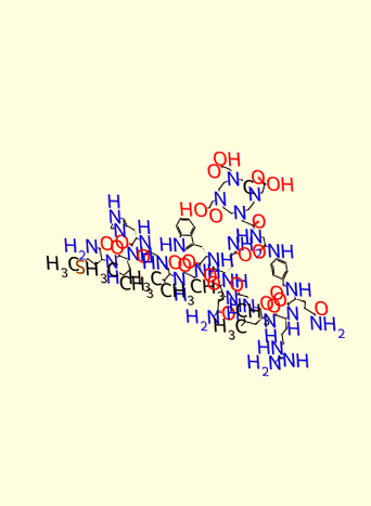 CSCC[C@H](NC(=O)[C@H](CC(C)C)NC(=O)[C@H](Cc1c[nH]cn1)NC(=O)CNC(=O)[C@@H](NC(=O)[C@H](C)NC(=O)[C@H](Cc1c[nH]c2ccccc12)NC(=O)[C@H](CCC(N)=O)NC(=O)[C@H](CC(N)=O)NC(=O)CNC(=O)[C@H](CC(C)C)NC(=O)[C@H](CCCNC(=N)N)NC(=O)[C@H](CCC(N)=O)NC(=O)c1ccc(NC(=O)CNC(=O)CN2CCN(CC(=O)O)CCN(CC(=O)O)CCN(CC(=O)O)CC2)cc1)C(C)C)C(N)=O